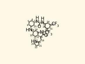 O=C(Nc1cccc(Nc2ccc3c(c2)NC(=O)C3=Cc2ccc[nH]2)c1)Nc1cc(C(F)(F)F)cc(C(F)(F)F)c1